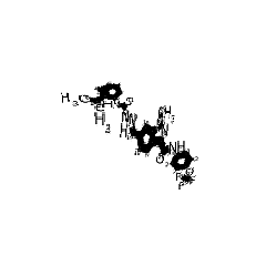 CC(C)c1ccccc1NC(=S)NN=Cc1ccc2c(C(=O)Nc3ccc(OC(F)(F)F)cc3)nn(C)c2c1